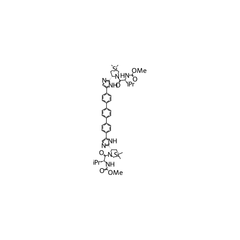 COC(=O)N[C@H](C(=O)N1C[Si](C)(C)C[C@H]1c1ncc(-c2ccc(-c3ccc(-c4ccc(-c5cnc([C@@H]6C[Si](C)(C)CN6C(=O)[C@@H](NC(=O)OC)C(C)C)[nH]5)cc4)cc3)cc2)[nH]1)C(C)C